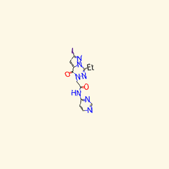 CCc1nn(CC(=O)Nc2ccncn2)c(=O)c2cc(I)nn12